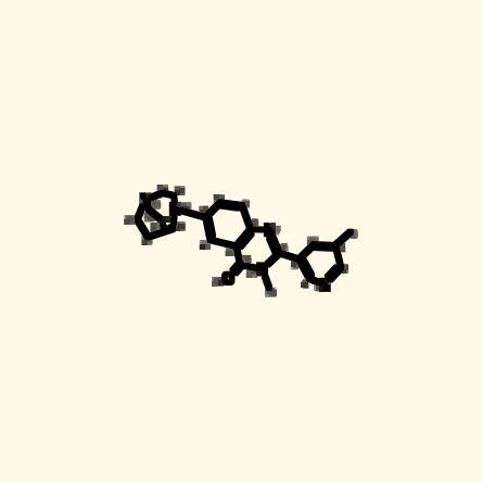 Cc1cncc(-c2nc3ccc(N4CCN5CCC4CC5)cc3c(=O)n2C)c1